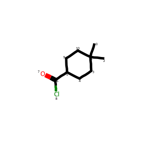 CC1(C)CCC(C(=O)Cl)CC1